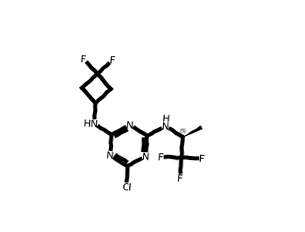 C[C@H](Nc1nc(Cl)nc(NC2CC(F)(F)C2)n1)C(F)(F)F